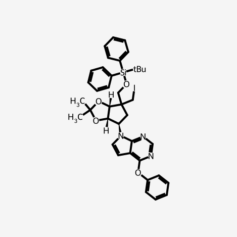 CC1(C)O[C@H]2[C@H](n3ccc4c(Oc5ccccc5)ncnc43)CC(CI)(CO[Si](c3ccccc3)(c3ccccc3)C(C)(C)C)[C@H]2O1